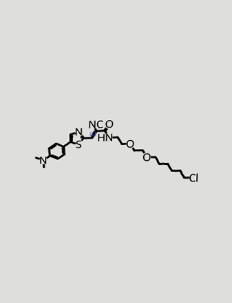 CN(C)c1ccc(-c2cnc(/C=C(\C#N)C(=O)NCCOCCOCCCCCCCl)s2)cc1